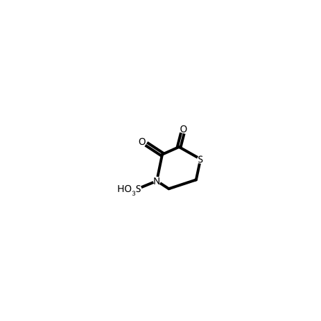 O=C1SCCN(S(=O)(=O)O)C1=O